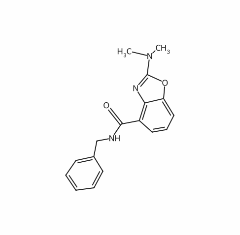 CN(C)c1nc2c(C(=O)NCc3ccccc3)cccc2o1